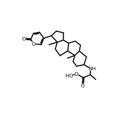 CC(NC1CCC2(C)C(CCC3C2CCC2(C)C(c4ccc(=O)oc4)CCC32)C1)C(=O)OO